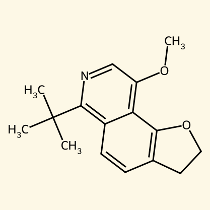 COc1cnc(C(C)(C)C)c2ccc3c(c12)OCC3